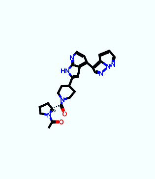 CC(=O)N1CCC[C@@H]1C(=O)N1CCC(c2cc3c(-c4cnn5ncccc45)ccnc3[nH]2)CC1